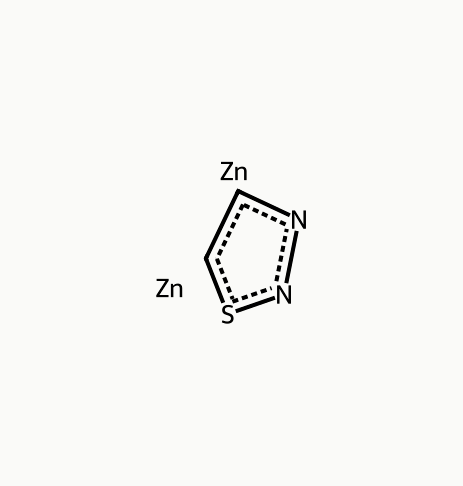 [Zn].[Zn].c1csnn1